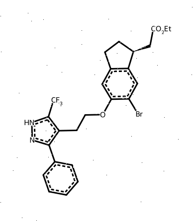 CCOC(=O)C[C@@H]1CCc2cc(OCCc3c(-c4ccccc4)n[nH]c3C(F)(F)F)c(Br)cc21